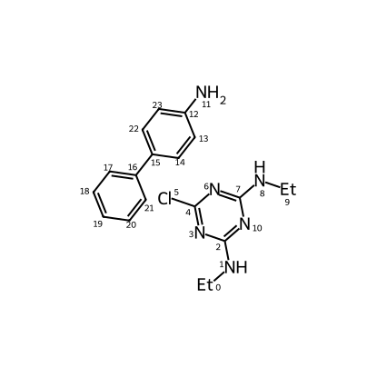 CCNc1nc(Cl)nc(NCC)n1.Nc1ccc(-c2ccccc2)cc1